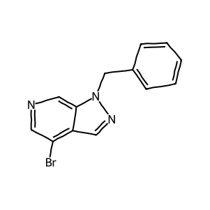 Brc1cncc2c1cnn2Cc1ccccc1